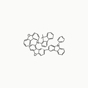 CC1(C)c2ccccc2-c2cccc(N(c3cccc4oc5ccccc5c34)c3cccc4oc5ccc(-c6ccc7c(c6)c6ccccc6n7-c6ccccc6)cc5c34)c21